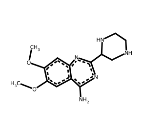 COc1cc2nc(C3CNCCN3)nc(N)c2cc1OC